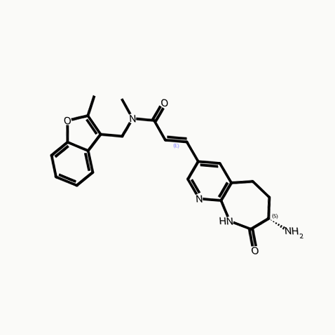 Cc1oc2ccccc2c1CN(C)C(=O)/C=C/c1cnc2c(c1)CC[C@H](N)C(=O)N2